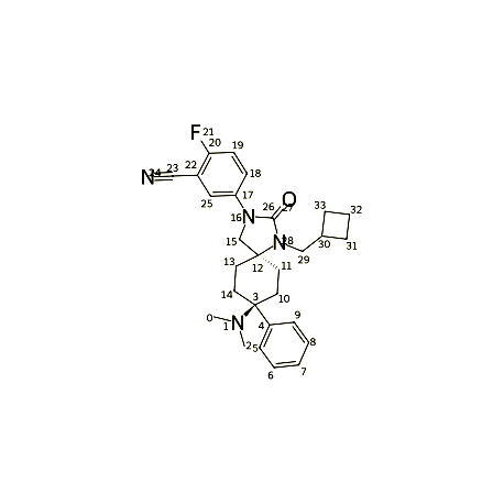 CN(C)[C@]1(c2ccccc2)CC[C@]2(CC1)CN(c1ccc(F)c(C#N)c1)C(=O)N2CC1CCC1